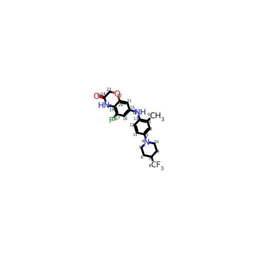 Cc1cc(N2CCC(C(F)(F)F)CC2)ccc1Nc1cc(F)c2c(c1)OCC(=O)N2